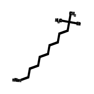 [CH2]CC(C)(C)CCCCCCCCCCCCCCCCCC